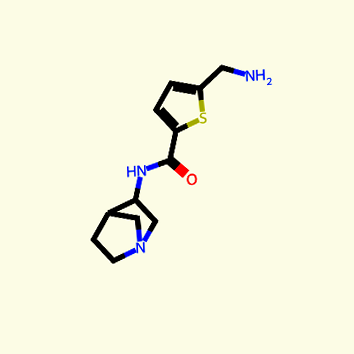 NCc1ccc(C(=O)NC2CN3CCC2C3)s1